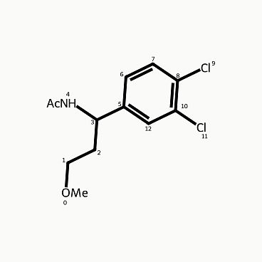 COCCC(NC(C)=O)c1ccc(Cl)c(Cl)c1